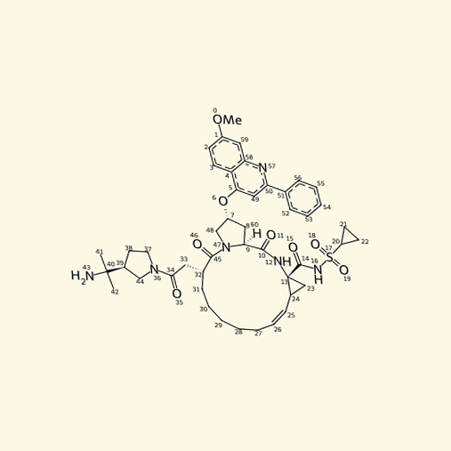 COc1ccc2c(O[C@@H]3C[C@H]4C(=O)N[C@]5(C(=O)NS(=O)(=O)C6CC6)CC5C=CCCCCC[C@H](CC(=O)N5CC[C@H](C(C)(C)N)C5)C(=O)N4C3)cc(-c3ccccc3)nc2c1